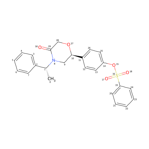 C[C@H](c1ccccc1)N1C[C@H](c2ccc(OS(=O)(=O)c3ccccc3)cc2)OCC1=O